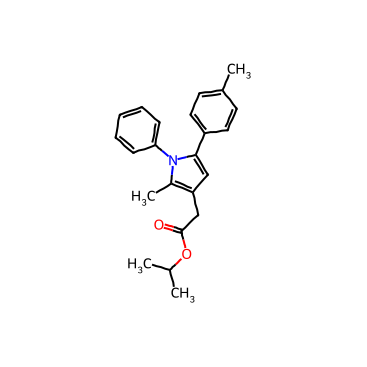 Cc1ccc(-c2cc(CC(=O)OC(C)C)c(C)n2-c2ccccc2)cc1